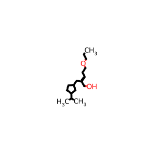 CCCOCC/C=C(/CO)CC1CCC(C(C)C)C1